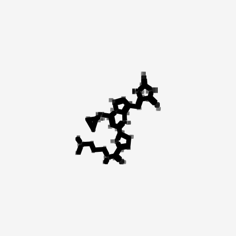 CN(C)CCCN(C)C(=O)C1=CCC(c2cc(NC3CC3)n3ncc(/C=C4\NC(=O)NC4=O)c3n2)S1